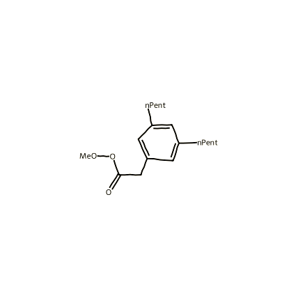 CCCCCc1cc(CCCCC)cc(CC(=O)OOC)c1